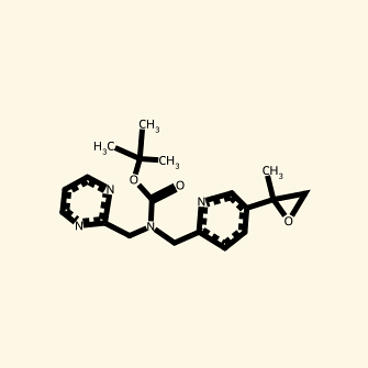 CC(C)(C)OC(=O)N(Cc1ccc(C2(C)CO2)cn1)Cc1ncccn1